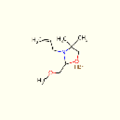 Br.C=CCN1C(COC)OCC1(C)C